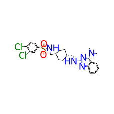 CN(C)c1nc(NC[C@H]2CC[C@H](CNS(=O)(=O)c3ccc(Cl)c(Cl)c3)CC2)nc2ccccc12